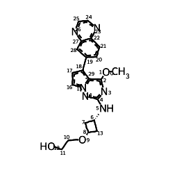 COc1nc(N[C@H]2C[C@@H](OCCO)C2)nn2ccc(-c3ccc4nccnc4c3)c12